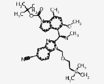 C/N=C(\c1c(OC)cc(C)c2c1ccn2C(=O)OC(C)(C)C)c1nc2cc(C#N)ccc2n1COCC[Si](C)(C)C